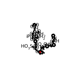 Cc1c(-c2ccc(-c3cc4cccc(C(=O)Nc5nc6ccccc6s5)c4[nH]3)nc2C(=O)O)cnn1CC12CC3(C)CC(C)(C1)CC(OCCN(CCS(=O)(=O)O)C(=O)OCc1ccc(N(C(=O)[C@@H](NC(=O)CCCCCN4C(=O)C=CC4=O)C(C)C)[C@@H](CCCNC(N)=O)C(N)=O)cc1)(C3)C2